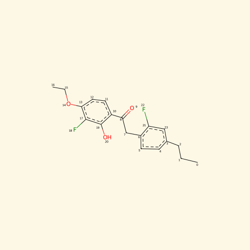 CCCc1ccc(CC(=O)c2ccc(OCC)c(F)c2O)c(F)c1